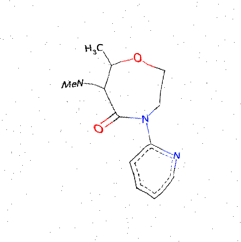 CNC1C(=O)N(c2ccccn2)CCOC1C